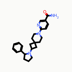 NC(=O)c1ccc(N2CCC3(CC2)CC(N2CCCC2c2ccccc2)C3)nc1